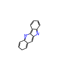 C1=Cc2nc3c(cc2=CC1)N=c1ccccc1=3